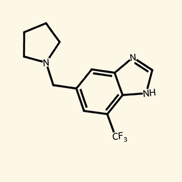 FC(F)(F)c1cc(CN2CCCC2)cc2nc[nH]c12